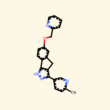 N#Cc1ccc(-c2n[nH]c3c2Cc2cc(OCc4ccccn4)ccc2-3)cn1